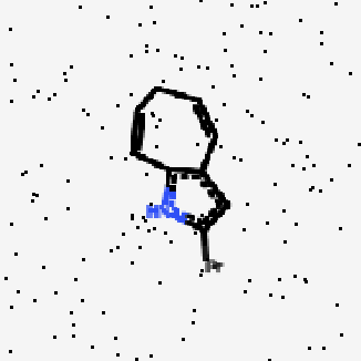 CC(C)c1cc2c([nH]1)C=CCC=C2